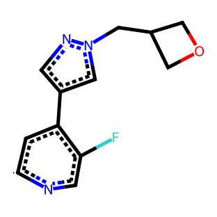 Fc1cn[c]cc1-c1cnn(CC2COC2)c1